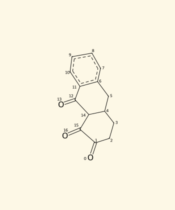 O=C1CCC2Cc3ccccc3C(=O)C2C1=O